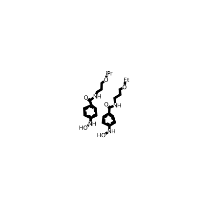 CC(C)OCCCNC(=O)c1ccc(NO)cc1.CCOCCCNC(=O)c1ccc(NO)cc1